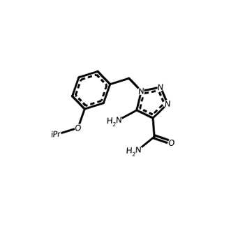 CC(C)Oc1cccc(Cn2nnc(C(N)=O)c2N)c1